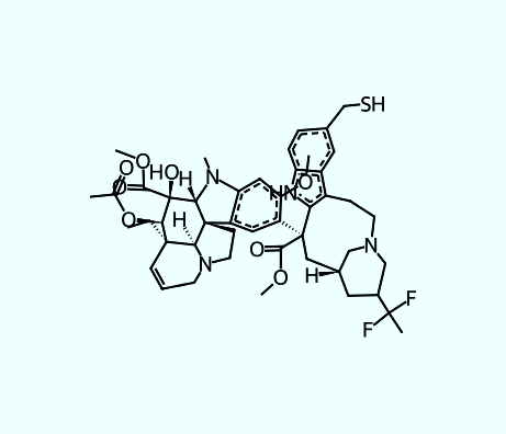 CC[C@]12C=CCN3CC[C@@]4(c5cc([C@@]6(C(=O)OC)C[C@H]7CC(C(C)(F)F)CN(CCc8c6[nH]c6ccc(CS)cc86)C7)c(OC)cc5N(C)[C@H]4[C@@](O)(C(=O)OC)[C@@H]1OC(C)=O)[C@@H]32